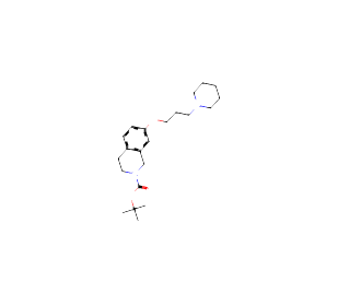 CC(C)(C)OC(=O)N1CCc2ccc(OCCCN3CCCCC3)cc2C1